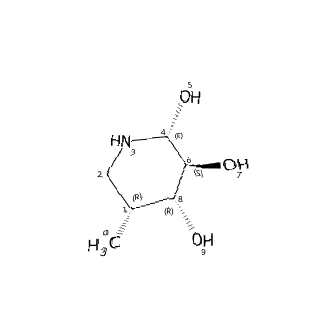 C[C@@H]1CN[C@H](O)[C@@H](O)[C@@H]1O